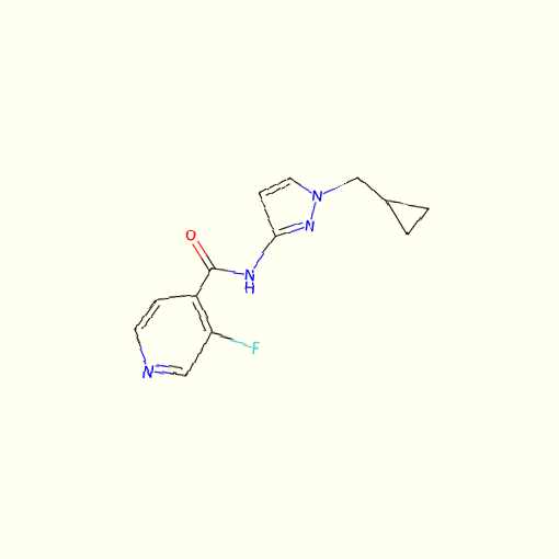 O=C(Nc1ccn(CC2CC2)n1)c1ccncc1F